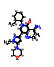 C=C(N)c1c(NC)c(-c2cc(N3CCOCC3)n(C)n2)cn(C2CCCCC2C)c1=O